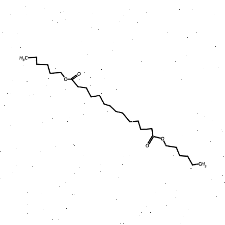 CCCCCCOC(=O)CCCCCCCCCCCCC(=O)OCCCCCC